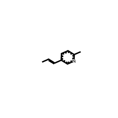 CC=Cc1ccc(C)nc1